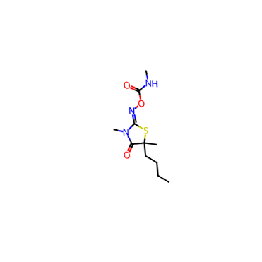 CCCCC1(C)SC(=NOC(=O)NC)N(C)C1=O